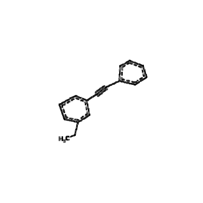 CCc1cccc(C#Cc2ccccc2)c1